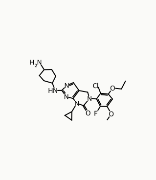 CCOc1cc(OC)c(F)c(N2Cc3cnc(NC4CCC(N)CC4)nc3N(C3CC3)C2=O)c1Cl